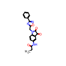 CCC(=O)Nc1ccc2c(c1)C(=O)C(=O)N2Cc1nc(-c2ccccc2)no1